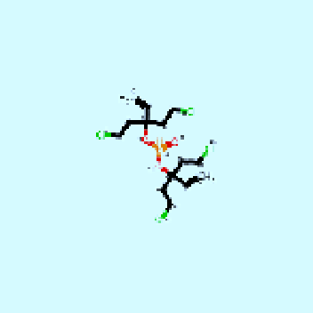 C=CC(CCCl)(CCCl)O[PH](=O)OC(C=C)(CCCl)CCCl